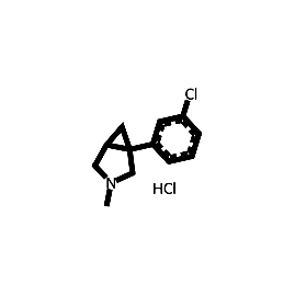 CN1CC2CC2(c2cccc(Cl)c2)C1.Cl